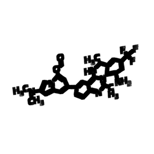 Cc1nc(N[C@H](C)c2cc(N)cc(C(F)(F)F)c2)c2cc(-c3cc(OC=O)n4cc(N(C)C)cc4c3)ccc2n1